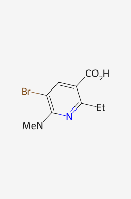 CCc1nc(NC)c(Br)cc1C(=O)O